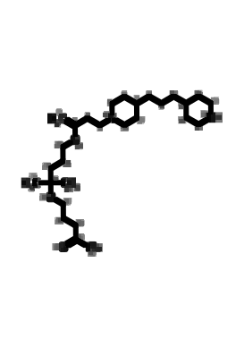 C=C(CCN1CCC(CCCC2CCNCC2)CC1)OCCCC(C)(C)OCCCC(=O)C(C)(C)C